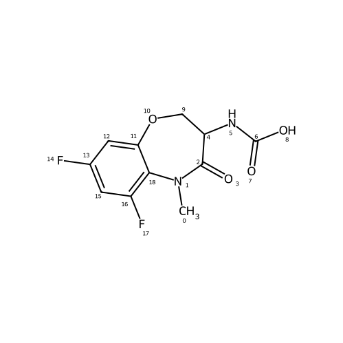 CN1C(=O)C(NC(=O)O)COc2cc(F)cc(F)c21